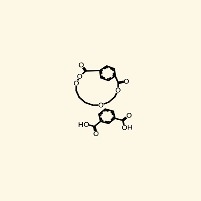 O=C(O)c1cccc(C(=O)O)c1.O=C1OCCOCCCCOOC(=O)c2ccc1cc2